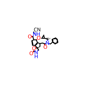 C[C@@H](C1CC1)N(Cc1ccccc1)C(=O)CC1C[C@]2(CNC(=O)O2)C2=C1C(=O)C(C(=O)NCC#N)C=C2